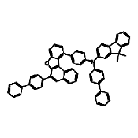 CC1(C)c2ccccc2-c2ccc(N(c3ccc(-c4ccccc4)cc3)c3ccc(-c4cccc5oc6c(-c7ccc(-c8ccccc8)cc7)cc7ccccc7c6c45)cc3)cc21